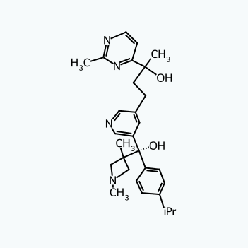 Cc1nccc(C(C)(O)CCc2cncc([C@@](O)(c3ccc(C(C)C)cc3)C3(C)CN(C)C3)c2)n1